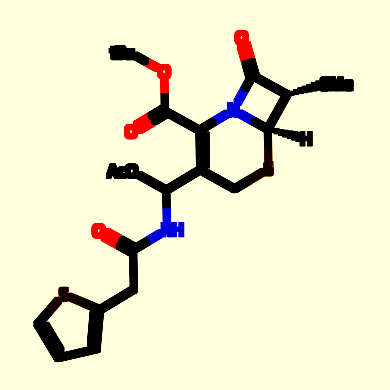 CS[C@H]1C(=O)N2C(C(=O)OC(C)(C)C)=C(C(NC(=O)Cc3cccs3)OC(C)=O)CS[C@H]12